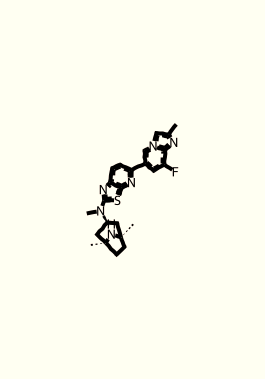 Cc1cn2cc(-c3ccc4nc(N(C)[C@@H]5C[C@]6(C)CC[C@](C)(C5)N6)sc4n3)cc(F)c2n1